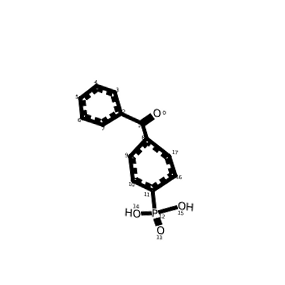 O=C(c1ccccc1)c1ccc(P(=O)(O)O)cc1